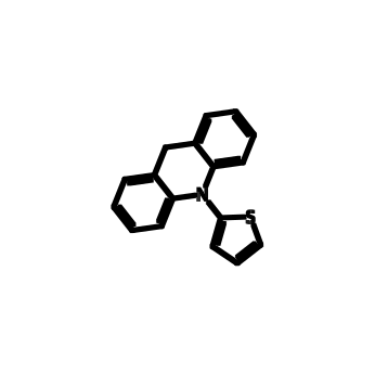 c1csc(N2c3ccccc3Cc3ccccc32)c1